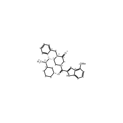 COc1cccc2[nH]c(C(=O)N3CC(=O)N(Cc4ccccc4)[C@@H](CN(C)C4CCCCC4)C3)cc12